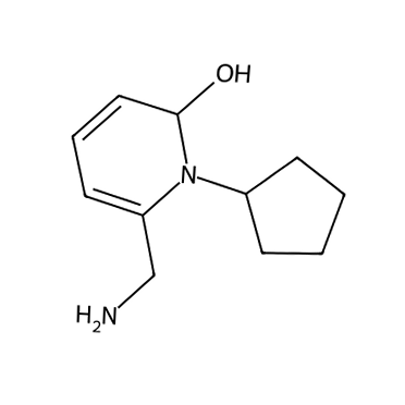 NCC1=CC=CC(O)N1C1CCCC1